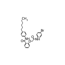 CCCCCCc1ccc(NC(=O)c2ccccc2OCC(=O)Nc2ccc(Br)cc2)cc1